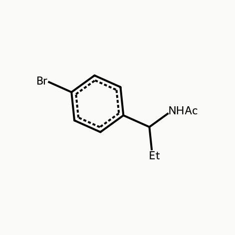 CCC(NC(C)=O)c1ccc(Br)cc1